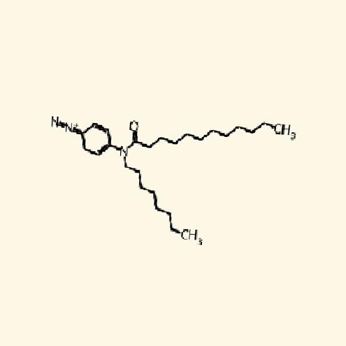 CCCCCCCCCCCC(=O)N(CCCCCCCC)C1=CCC(=[N+]=[N-])C=C1